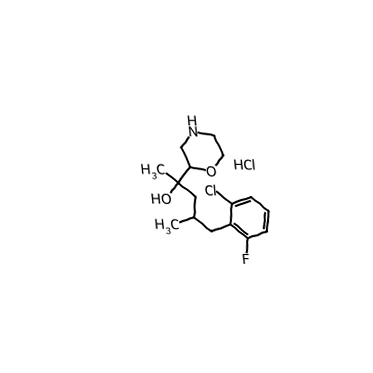 CC(Cc1c(F)cccc1Cl)CC(C)(O)C1CNCCO1.Cl